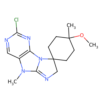 COC1(C)CCC2(CC1)CN=C1N(C)c3cnc(Cl)nc3N12